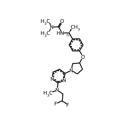 C[C@H](NC(=O)N(C)C)c1ccc(OC2CCN(c3ccnc(N(C)CC(F)F)n3)C2)cc1